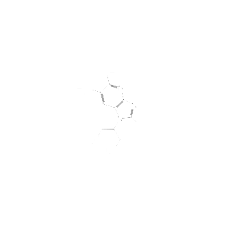 CCC(CC)n1c(O)nc2nc(C)c(C)cc21